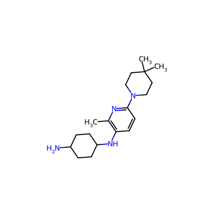 Cc1nc(N2CCC(C)(C)CC2)ccc1NC1CCC(N)CC1